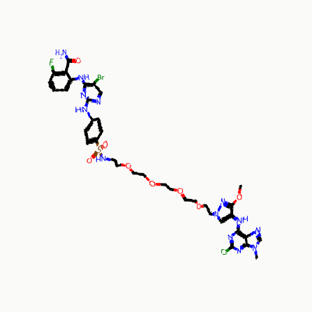 COc1nn(CCOCCOCCOCCOCCNS(=O)(=O)c2ccc(Nc3ncc(Br)c(Nc4cccc(F)c4C(N)=O)n3)cc2)cc1Nc1nc(Cl)nc2c1ncn2C